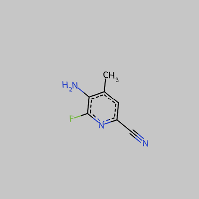 Cc1cc(C#N)nc(F)c1N